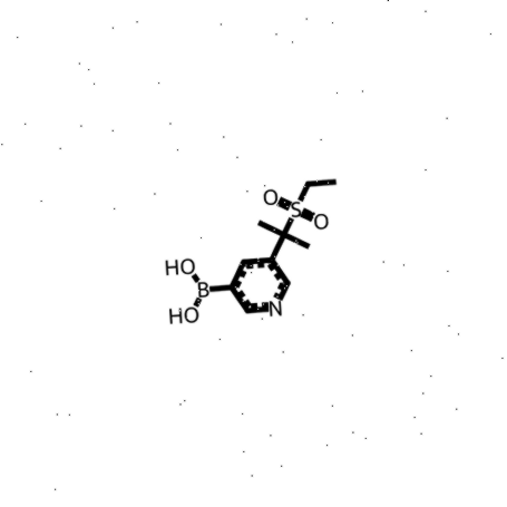 CCS(=O)(=O)C(C)(C)c1cncc(B(O)O)c1